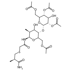 CC(=O)OCC1O[C@@H](NC(=O)CSC[C@H](C)C(N)=O)[C@@H](C)C(O)[C@@H]1O[C@@H]1OC(COC(C)=O)[C@H](OC(C)=O)C(O)[C@@H]1OC(C)=O